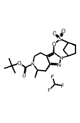 CC1Cc2nn3c(c2CCN1C(=O)OC(C)(C)C)OS(=O)(=O)C1CCC3C1.FC(F)F